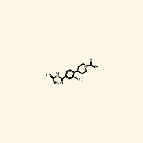 CC(C)C(=O)N1CCC(c2ccc(C(=O)NC(=N)N)cc2C(F)(F)F)CC1